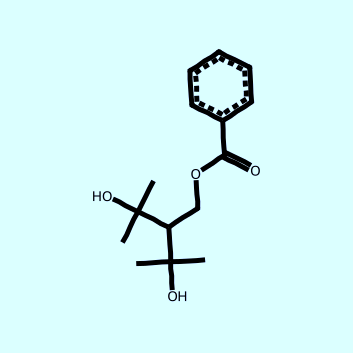 CC(C)(O)C(COC(=O)c1ccccc1)C(C)(C)O